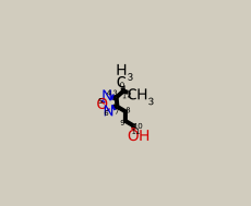 CC(C)c1nonc1CCCO